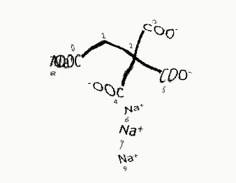 O=C([O-])CC(C(=O)[O-])(C(=O)[O-])C(=O)[O-].[Na+].[Na+].[Na+].[Na+]